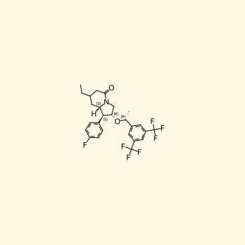 CCC1CC(=O)N2C[C@H](O[C@H](C)c3cc(C(F)(F)F)cc(C(F)(F)F)c3)[C@@H](c3ccc(F)cc3)[C@@H]2C1